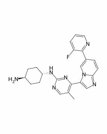 Cc1cnc(N[C@H]2CC[C@H](N)CC2)nc1-c1cnc2ccc(-c3ncccc3F)cn12